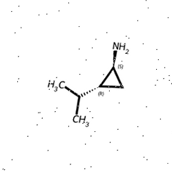 CC(C)[C@H]1C[C@@H]1N